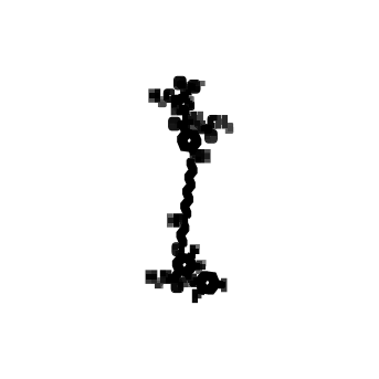 CC(=O)Nc1cc(NCCCCCCCCNCCCOc2cc(C(N)=O)c(Nc3ccc(I)cc3F)c(F)c2F)ccc1C(=O)Nc1nc(C)c([N+](=O)[O-])s1